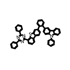 c1ccc(-c2nc(-c3ccccc3)nc(-c3cccc4c3sc3cc(-c5ccccc5-c5ccc6c(c5)c5ccccc5n6-c5ccccc5)ccc34)n2)cc1